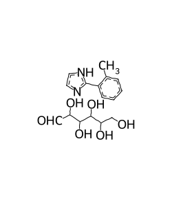 Cc1ccccc1-c1ncc[nH]1.O=CC(O)C(O)C(O)C(O)CO